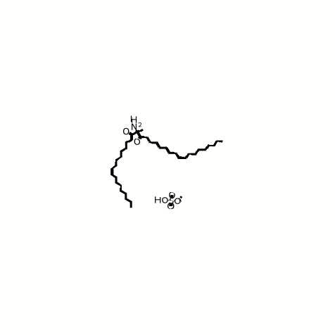 CCCCCCCC/C=C\CCCCCCCC(=O)C(C)(N)C(=O)CCCCCCC/C=C\CCCCCCCC.COS(=O)(=O)O